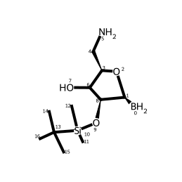 B[C@@H]1O[C@H](CN)C(O)[C@@H]1O[Si](C)(C)C(C)(C)C